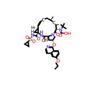 CCCOc1ccc2c(O[C@@H]3C[C@H]4C(=O)N[C@]5(C(=O)NS(=O)(=O)C6CC6)C[C@H]5/C=C\CC[C@@H](C)C[C@@H](C)[C@H](N(C(=O)O)C(C)(C)C)C(=O)N4C3)nccc2c1